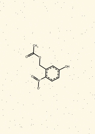 CC(=O)OCc1cc(O)ccc1[N+](=O)[O-]